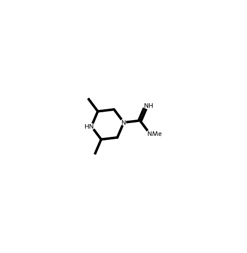 CNC(=N)N1CC(C)NC(C)C1